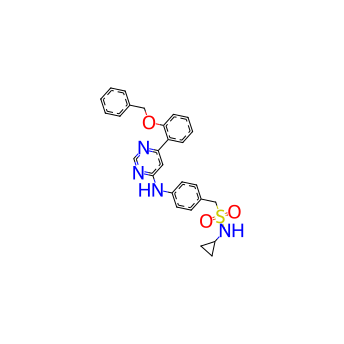 O=S(=O)(Cc1ccc(Nc2cc(-c3ccccc3OCc3ccccc3)ncn2)cc1)NC1CC1